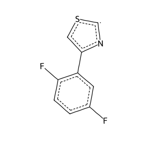 Fc1ccc(F)c(-c2cs[c]n2)c1